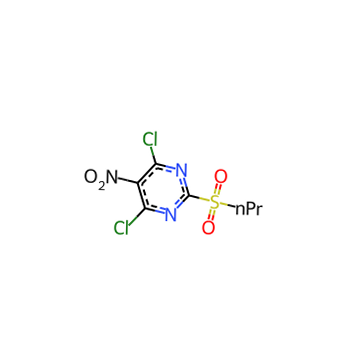 CCCS(=O)(=O)c1nc(Cl)c([N+](=O)[O-])c(Cl)n1